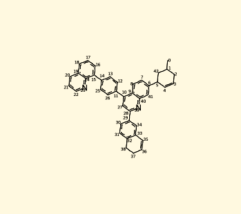 CC1CC=CC(c2ccc3c(-c4ccc(-c5cccc6cccnc56)cc4)cc(-c4ccc5c(c4)C=CCC5)nc3c2)C1